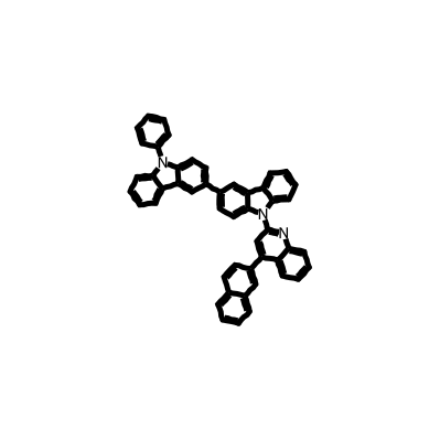 c1ccc(-n2c3ccccc3c3cc(-c4ccc5c(c4)c4ccccc4n5-c4cc(-c5ccc6ccccc6c5)c5ccccc5n4)ccc32)cc1